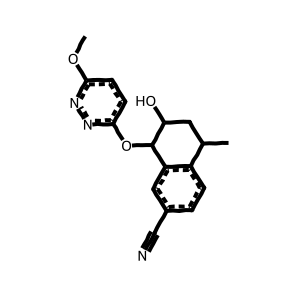 COc1ccc(OC2c3cc(C#N)ccc3C(C)CC2O)nn1